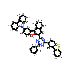 c1ccc(-c2nc(-c3ccc4sc5ccccc5c4c3)nc(-c3cc4ccccc4c4c3oc3ccc(-n5c6ccccc6c6ccccc65)cc34)n2)cc1